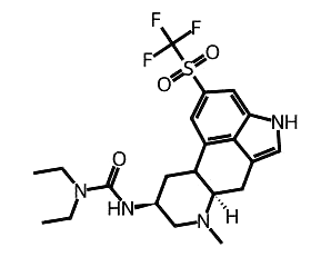 CCN(CC)C(=O)N[C@H]1CC2c3cc(S(=O)(=O)C(F)(F)F)cc4[nH]cc(c34)C[C@H]2N(C)C1